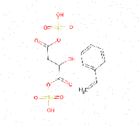 C=Cc1ccccc1.O=C(CC(O)C(=O)OS(=O)(=O)O)OS(=O)(=O)O